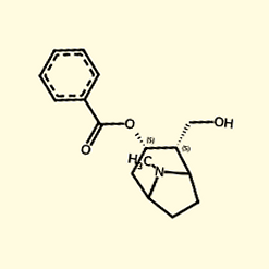 CN1C2CCC1[C@@H](CO)[C@@H](OC(=O)c1ccccc1)C2